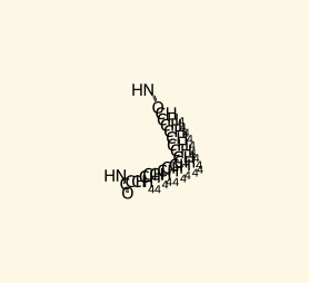 C.C.C.C.C.C.C.C.C.C.C.C.C.C.C.C.C.N=C=O.N=C=O